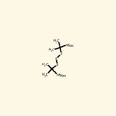 CCCCCCCCCC(C)(C)SSSC(C)(C)CCCCCCCCC